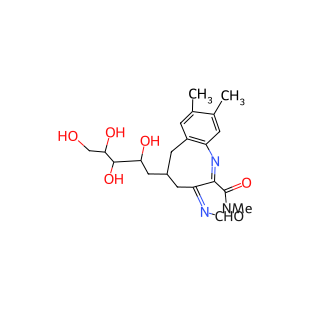 CNC(=O)/C1=N/c2cc(C)c(C)cc2CC(CC(O)C(O)C(O)CO)C\C1=N\C=O